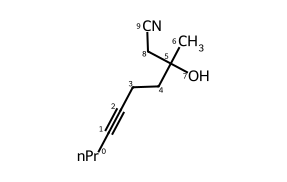 CCCC#CCCC(C)(O)CC#N